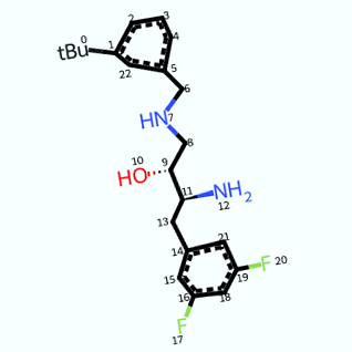 CC(C)(C)c1cccc(CNC[C@@H](O)[C@@H](N)Cc2cc(F)cc(F)c2)c1